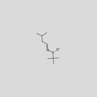 CC(C)C/C=N/[S@+]([O-])C(C)(C)C